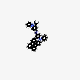 Cc1c(C)n(-c2ccccc2)c2ccc(/C=C/c3ccc(N(c4ccccc4)c4ccc5c(c4)C4(c6ccccc6-c6ccccc64)c4ccccc4-5)cc3)cc12